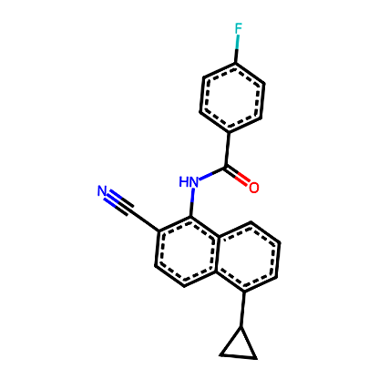 N#Cc1ccc2c(C3CC3)cccc2c1NC(=O)c1ccc(F)cc1